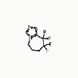 FC1(F)CCCn2cnnc2C1(F)F